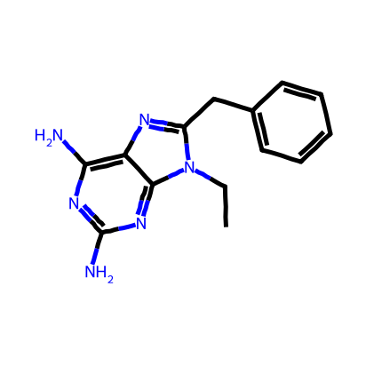 CCn1c(Cc2ccccc2)nc2c(N)nc(N)nc21